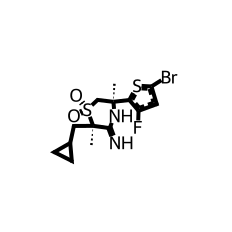 C[C@@]1(c2sc(Br)cc2F)CS(=O)(=O)[C@](C)(CC2CC2)C(=N)N1